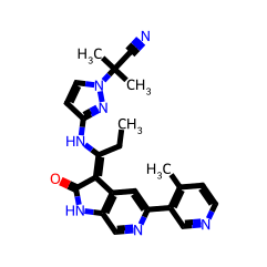 CC/C(Nc1ccn(C(C)(C)C#N)n1)=C1/C(=O)Nc2cnc(-c3cnccc3C)cc21